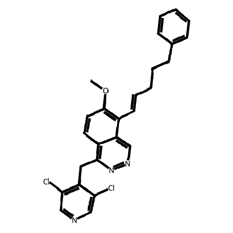 COc1ccc2c(Cc3c(Cl)cncc3Cl)nncc2c1C=CCCCc1ccccc1